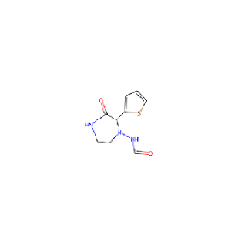 O=CNN1CCNC(=O)C1c1cccs1